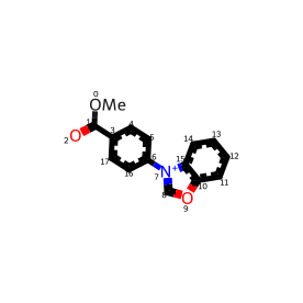 COC(=O)c1ccc(-[n+]2coc3ccccc32)cc1